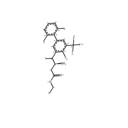 CCOC(=O)C[C@H](N)C(C)c1cc(-c2c(C)cccc2C)cc(C(F)(F)F)c1F